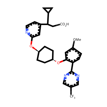 COc1ccc(-c2ncc(C(F)(F)F)cn2)c(O[C@H]2CC[C@H](Oc3cc(C(CC(=O)O)C4CC4)ccn3)CC2)c1